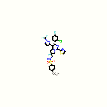 O=C(O)c1ccc(S(=O)(=O)NCC2(F)CC3=C(c4ccn(C(F)F)n4)[C@H](c4ccc(F)cc4Cl)N=C(c4nccs4)N3C2)cc1